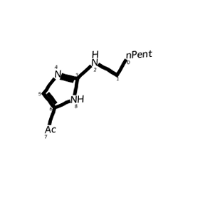 CCCCCCNc1ncc(C(C)=O)[nH]1